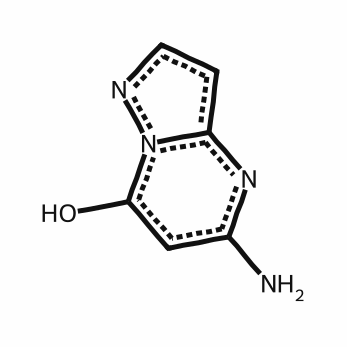 Nc1cc(O)n2nccc2n1